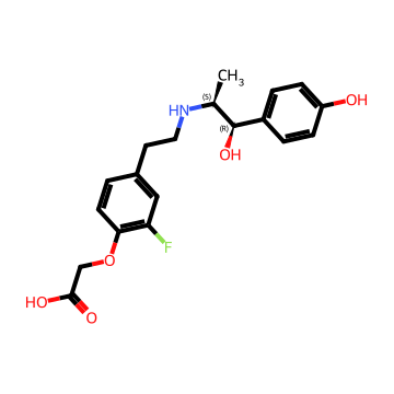 C[C@H](NCCc1ccc(OCC(=O)O)c(F)c1)[C@H](O)c1ccc(O)cc1